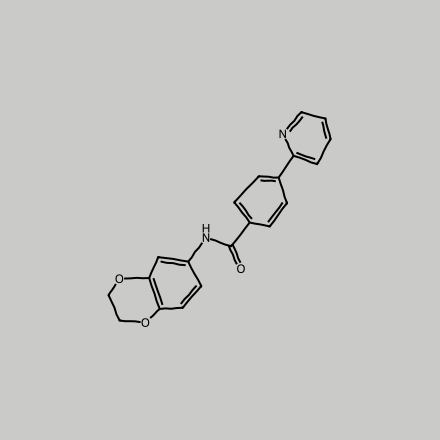 O=C(Nc1ccc2c(c1)OCCO2)c1ccc(-c2ccccn2)cc1